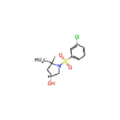 CC1(C(=O)O)C[C@@H](O)CN1S(=O)(=O)c1cccc(Cl)c1